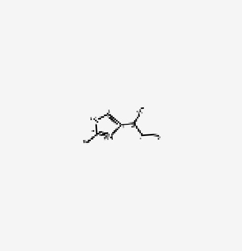 CCC(Cl)c1csc(C)n1